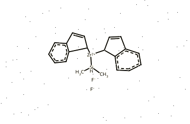 C[SiH](C)[Zr+2]([CH]1C=Cc2ccccc21)[CH]1C=Cc2ccccc21.[F-].[F-]